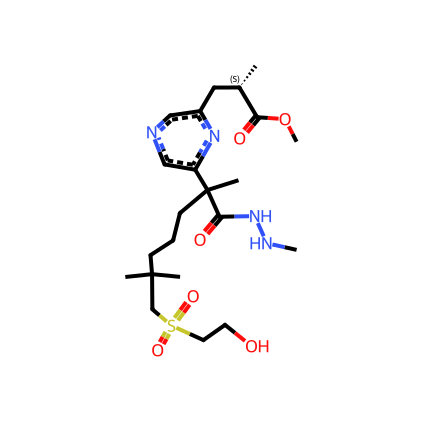 CNNC(=O)C(C)(CCCC(C)(C)CS(=O)(=O)CCO)c1cncc(C[C@H](C)C(=O)OC)n1